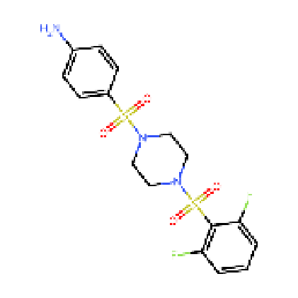 Nc1ccc(S(=O)(=O)N2CCN(S(=O)(=O)c3c(F)cccc3F)CC2)cc1